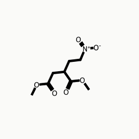 COC(=O)CC(CC[N+](=O)[O-])C(=O)OC